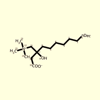 CCCCCCCCCCCCCCCCC(O)(CC(=O)[O-])C[N+](C)(C)C